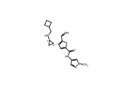 Cn1cc(NC(=O)c2cc([C@@H]3C[C@H]3NCC3CCC3)c(C=N)s2)cn1